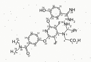 CC(C)C(N)N(CC(=O)O)c1c(F)c(Oc2cccc(C(=O)N(C)C)c2)nc(Oc2cc(C(=N)N)ccc2O)c1F